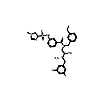 CCc1cccc(CN(C[C@@H](O)[C@@H](N)Cc2cc(F)cc(F)c2)C(=O)c2cccc(NS(=O)(=O)C3CN(C)C=N3)c2)c1